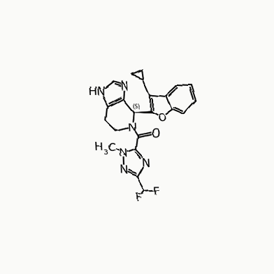 Cn1nc(C(F)F)nc1C(=O)N1CCc2[nH]cnc2[C@H]1c1oc2ccccc2c1C1CC1